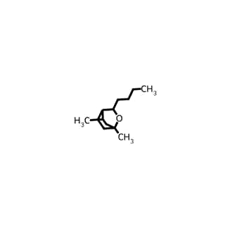 CCCCC1OC2(C)CCC1C(C)C2